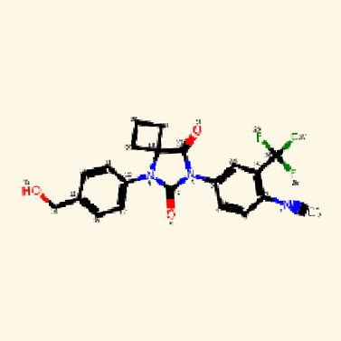 [C-]#[N+]c1ccc(N2C(=O)N(c3ccc(CO)cc3)C3(CCC3)C2=O)cc1C(F)(F)F